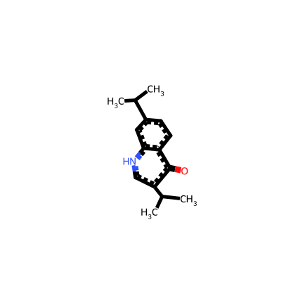 CC(C)c1ccc2c(=O)c(C(C)C)c[nH]c2c1